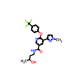 CC(O)CCNC(=O)c1cnc(Oc2ccc(C(F)(F)F)cc2)c(-c2ccn(C)n2)c1